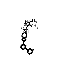 Cc1noc(NC(=O)N2CCC3(CC2)CC(c2cccc(-c4cccc(F)c4)c2)C3)c1C